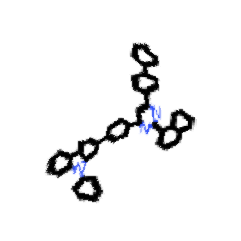 c1ccc(-c2ccc(-c3cc(-c4ccc(-c5ccc6c7ccccc7n(-c7ccccc7)c6c5)cc4)nc(-c4cccc5ccccc45)n3)cc2)cc1